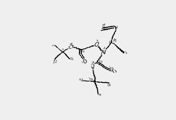 C=C[C@@H](C)N(OC(=O)OC(C)(C)C)C(=O)OC(C)(C)C